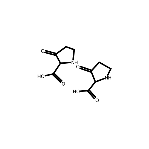 O=C(O)C1NCCC1=O.O=C(O)C1NCCC1=O